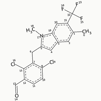 Cc1cc2cc(Cc3c(Cl)ccc(C=O)c3Cl)n(C)c2cc1C(F)(F)F